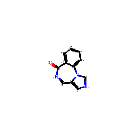 O=c1ncc2cncn2c2ccccc12